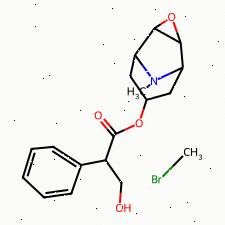 CBr.CN1C2CC(OC(=O)C(CO)c3ccccc3)CC1C1OC12